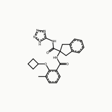 Cc1cccc(C(=O)NC2(C(=O)Nc3nnn[nH]3)Cc3ccccc3C2)c1OC1CCC1